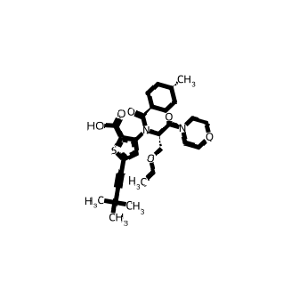 CCOC[C@@H](C(=O)N1CCOCC1)N(c1cc(C#CC(C)(C)C)sc1C(=O)O)C(=O)[C@H]1CC[C@H](C)CC1